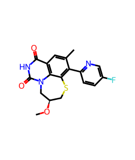 CO[C@@H]1CSc2c(-c3ccc(F)cn3)c(C)cc3c(=O)[nH]c(=O)n(c23)C1